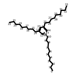 CCCCCCCCCCC[n+]1cc(CCCCCCCCC)cc(CCCCCCCCC)c1